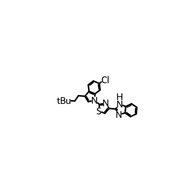 CC(C)(C)CCc1cn(-c2nc(-c3nc4ccccc4[nH]3)cs2)c2cc(Cl)ccc12